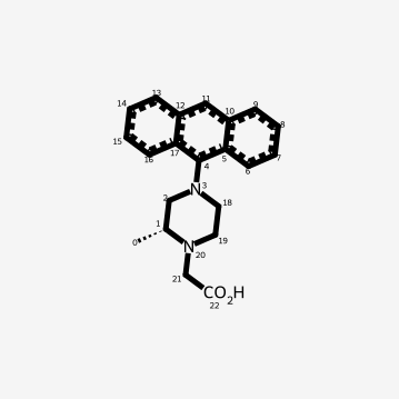 C[C@@H]1CN(c2c3ccccc3cc3ccccc23)CCN1CC(=O)O